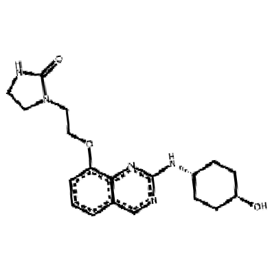 O=C1NCCN1CCOc1cccc2cnc(N[C@H]3CC[C@H](O)CC3)nc12